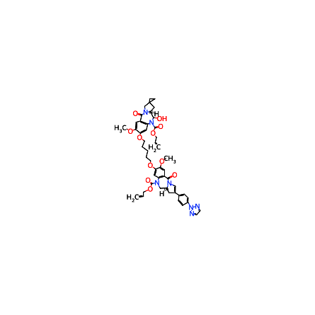 C=CCOC(=O)N1C[C@@H]2CC(c3ccc(-n4nccn4)cc3)=CN2C(=O)c2cc(OC)c(OCCCCCOc3cc4c(cc3OC)C(=O)N3CC5(CC5)C[C@H]3C(O)N4C(=O)OCC=C)cc21